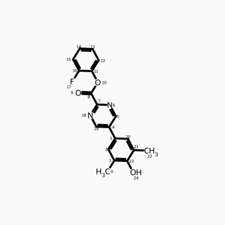 Cc1cc(-c2cnc(C(=O)Oc3ccccc3F)nc2)cc(C)c1O